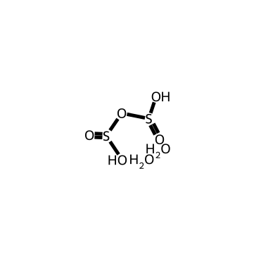 O.O.O=S(O)OS(=O)O